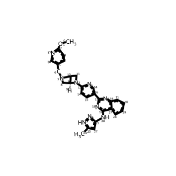 COc1ccc(CN2C[C@H]3C2CN3c2ccc(-c3nc(Nc4cc(C)[nH]n4)c4ccccc4n3)cn2)cn1